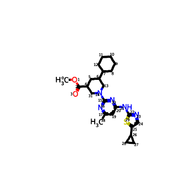 COC(=O)C1CC(C2CCCCC2)CN(c2nc(C)cc(Nc3ncc(C4CC4)s3)n2)C1